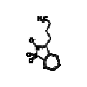 CCCCC1=[N+]([O-])S(=O)(=O)c2ccccc21